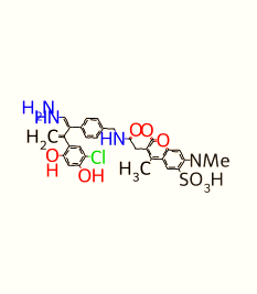 C=C(/C(=C\NN)c1ccc(CNC(=O)Cc2c(C)c3cc(S(=O)(=O)O)c(NC)cc3oc2=O)cc1)c1cc(Cl)c(O)cc1O